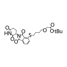 CC(C)(C)OC(=O)COCCCCSc1cccc2c1C(=O)N(C1CCC(=O)NC1=O)C2=O